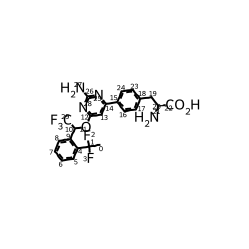 CC(F)(F)c1ccccc1C(Oc1cc(-c2ccc(C[C@H](N)C(=O)O)cc2)nc(N)n1)C(F)(F)F